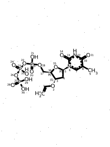 C=CO[C@H]1C[C@H](n2cc(C)c(=O)[nH]c2=O)O[C@@H]1COP(=O)(O)OP(=O)(O)OP(=O)(O)O